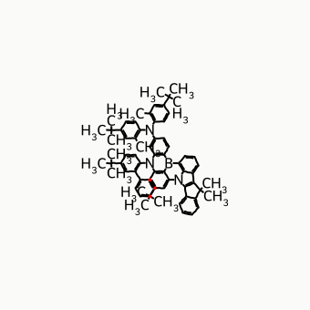 Cc1cc(C(C)(C)C)ccc1N(c1ccc2c(c1)N(c1ccc(C(C)(C)C)cc1-c1ccccc1)c1cc(C(C)(C)C)cc3c1B2c1cccc2c4c(n-3c12)-c1ccccc1C4(C)C)c1ccc(C(C)(C)C)cc1C